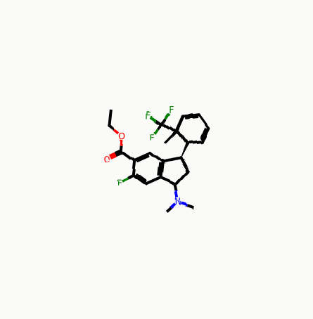 CCOC(=O)c1cc2c(cc1F)C(N(C)C)C[C@@H]2C1C=CC=CC1(C)C(F)(F)F